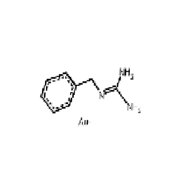 NC(N)=NCc1ccccc1.[Au]